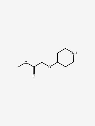 COC(=O)COC1CCNCC1